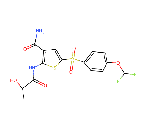 CC(O)C(=O)Nc1sc(S(=O)(=O)c2ccc(OC(F)F)cc2)cc1C(N)=O